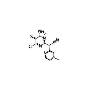 Cc1ccnc(C(C#N)C2=NC(N)C(=S)C(Cl)=N2)c1